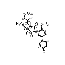 CCc1ccc(-c2ccc(Cl)cc2)cc1C1C(=O)[C@@H]2[C@@H](ON(C)[C@H]2C2CCOCC2)C1=O